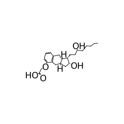 CCCCCC(O)CC[C@@H]1[C@H]2Cc3cccc(OCC(=O)O)c3C[C@H]2C[C@H]1O